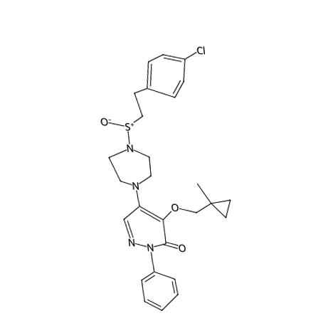 CC1(COc2c(N3CCN([S+]([O-])CCc4ccc(Cl)cc4)CC3)cnn(-c3ccccc3)c2=O)CC1